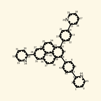 c1ccc(-c2ccc(-c3cc(-c4ccc(-c5ccccn5)cc4)c4ccc5cc(-c6ccccn6)cc6ccc3c4c65)cc2)nc1